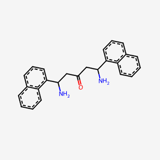 NC(CC(=O)CC(N)c1cccc2ccccc12)c1cccc2ccccc12